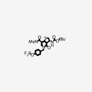 CNC(=O)c1cn(Cc2ccc(OC(F)(F)F)cc2)c(=O)c2c1SC[C@@H]2NC(=O)OC(C)(C)C